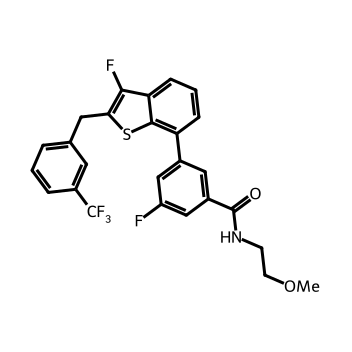 COCCNC(=O)c1cc(F)cc(-c2cccc3c(F)c(Cc4cccc(C(F)(F)F)c4)sc23)c1